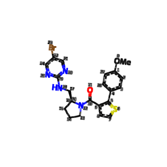 COc1ccc(-c2sccc2C(=O)N2CCC[C@H]2CNc2ncc(Br)cn2)cc1